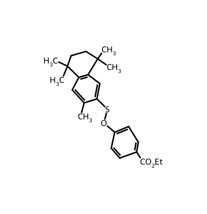 CCOC(=O)c1ccc(OSc2cc3c(cc2C)C(C)(C)CCC3(C)C)cc1